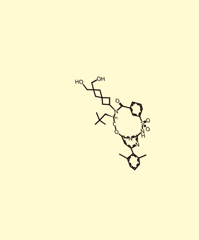 Cc1cccc(C)c1-c1cc2nc(n1)NS(=O)(=O)c1cccc(c1)C(=O)N(C1CC3(C1)CC(CO)(CO)C3)[C@H](CC(C)(C)C)CO2